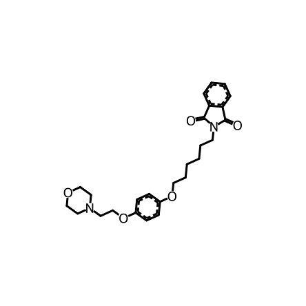 O=C1c2ccccc2C(=O)N1CCCCCCOc1ccc(OCCN2CCOCC2)cc1